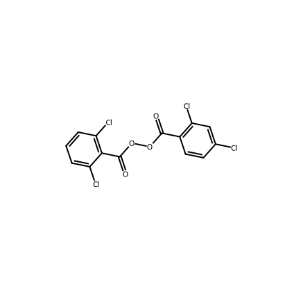 O=C(OOC(=O)c1c(Cl)cccc1Cl)c1ccc(Cl)cc1Cl